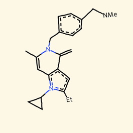 C=C1c2cc(CC)n(C3CC3)c2C=C(C)N1Cc1ccc(CNC)cc1